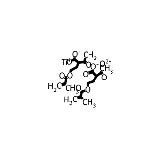 C=C(C)C(=O)OCCC(C(C)=O)C(=O)[O-].C=C(C)C(=O)OCCC(C(C)=O)C(=O)[O-].[O-2].[Ti+4]